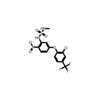 CNS(=O)(=O)Nc1cc(Oc2ccc(C(F)(F)F)cc2Cl)ccc1[N+](=O)[O-]